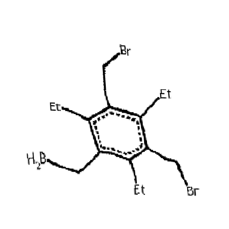 BCc1c(CC)c(CBr)c(CC)c(CBr)c1CC